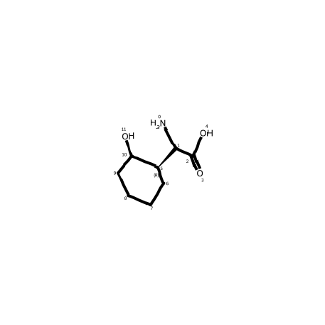 NC(C(=O)O)[C@H]1CCCCC1O